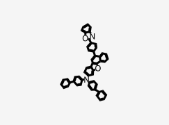 c1ccc(-c2ccc(N(c3ccc(-c4ccccc4)cc3)c3ccc4c(c3)oc3c5ccccc5c(-c5ccc(-c6nc7ccccc7o6)cc5)cc43)cc2)cc1